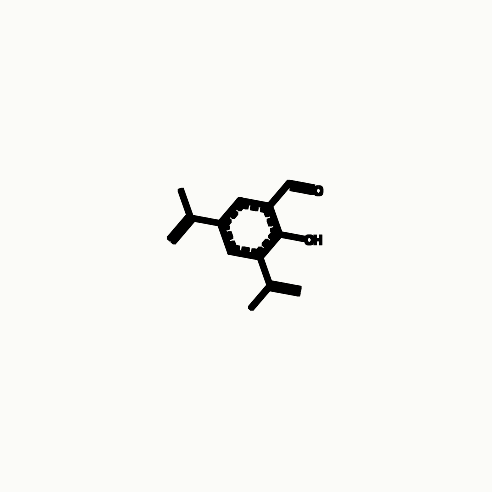 C=C(C)c1cc(C=O)c(O)c(C(=C)C)c1